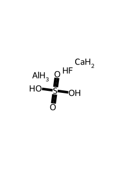 F.O=S(=O)(O)O.[AlH3].[CaH2]